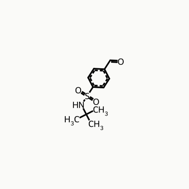 CC(C)(C)NS(=O)(=O)c1ccc(C=O)cc1